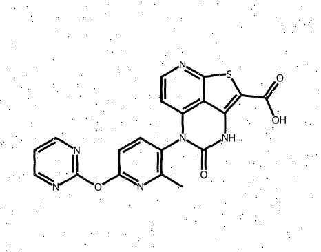 Cc1nc(Oc2ncccn2)ccc1N1C(=O)Nc2c(C(=O)O)sc3nccc1c23